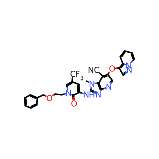 Cn1c(Nc2cc(C(F)(F)F)cn(CCOCc3ccccc3)c2=O)nc2ncc(Oc3cnn4ccccc34)c(C#N)c21